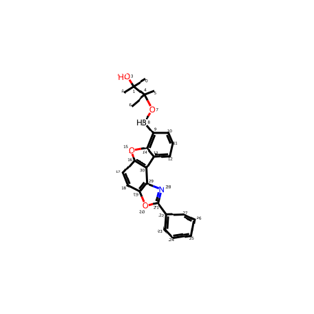 CC(C)(O)C(C)(C)OBc1cccc2c1oc1ccc3oc(-c4ccccc4)nc3c12